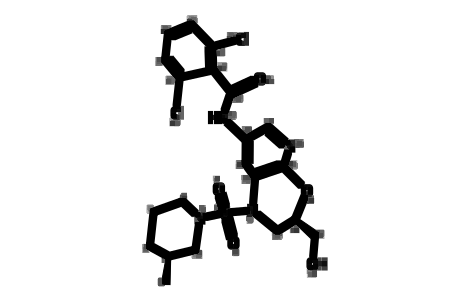 C[C@H]1CCCN(S(=O)(=O)N2C[C@H](CO)Oc3ncc(NC(=O)c4c(Cl)cccc4Cl)cc32)C1